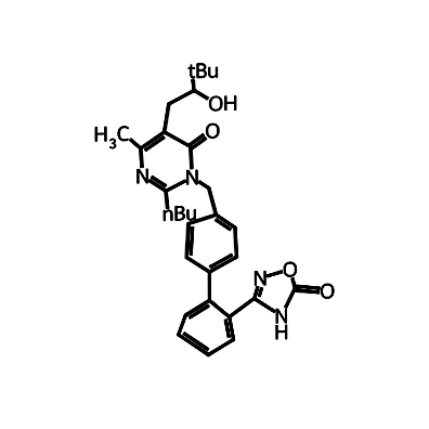 CCCCc1nc(C)c(CC(O)C(C)(C)C)c(=O)n1Cc1ccc(-c2ccccc2-c2noc(=O)[nH]2)cc1